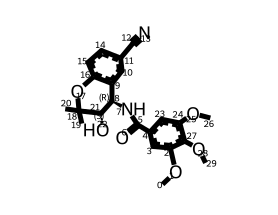 COc1cc(C(=O)N[C@@H]2c3cc(C#N)ccc3OC(C)(C)[C@H]2O)cc(OC)c1OC